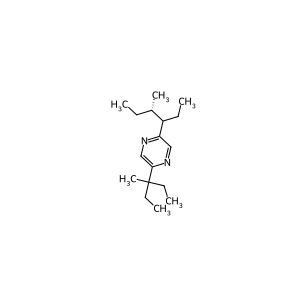 CCC(c1cnc(C(C)(CC)CC)cn1)[C@@H](C)CC